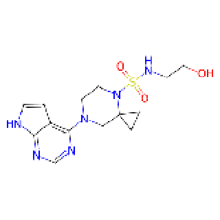 O=S(=O)(NCCO)N1CCN(c2ncnc3[nH]ccc23)CC12CC2